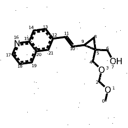 COCOCC1(CO)CC1C=Cc1ccc2ncccc2c1